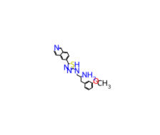 COc1cccc(CC(N)CNc2nnc(-c3ccc4cnccc4c3)s2)c1